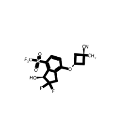 C[C@]1(C#N)C[C@H](Oc2ccc(S(=O)(=O)C(F)(F)F)c3c2CC(F)(F)[C@H]3O)C1